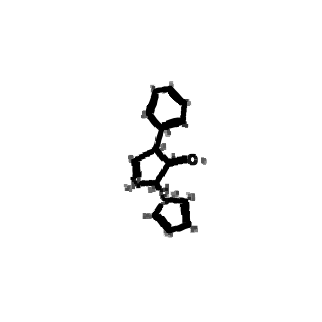 O=C1C(c2ccccc2)C=NC1[SH]1C=CC=C1